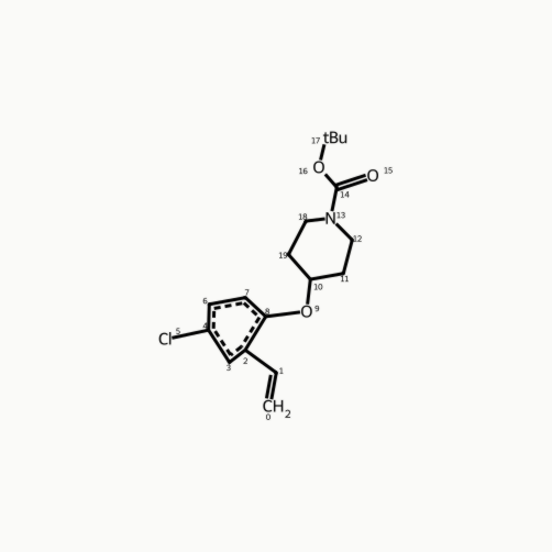 C=Cc1cc(Cl)ccc1OC1CCN(C(=O)OC(C)(C)C)CC1